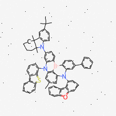 Cc1cc2c3c(c1)N(c1cccc4oc5ccccc5c14)c1cc(-c4ccccc4)ccc1B3c1ccc(N3c4ccc(C(C)(C)C)cc4C4(C)CCCCC34C)cc1N2c1cccc2c1sc1ccccc12